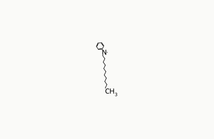 CCCCCCCCCCCC[N]c1ccccc1